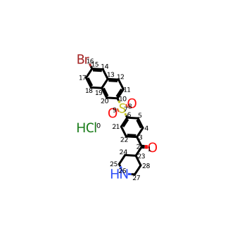 Cl.O=C(c1ccc(S(=O)(=O)c2ccc3cc(Br)ccc3c2)cc1)C1CCNCC1